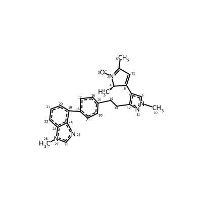 CC1=[N+]([O-])[C@H](C)C(c2cn(C)nc2CCc2ccc(-c3cccc4c3ncn4C)cc2)=C1